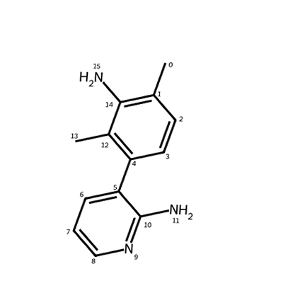 Cc1ccc(-c2cccnc2N)c(C)c1N